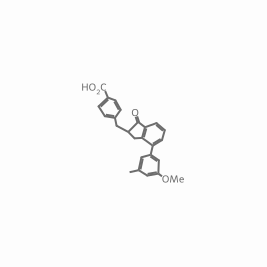 COc1cc(C)cc(-c2cccc3c2CC(Cc2ccc(C(=O)O)cc2)C3=O)c1